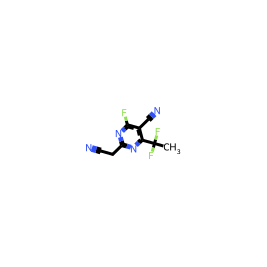 CC(F)(F)c1nc(CC#N)nc(F)c1C#N